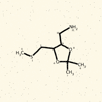 CSCC1OC(C)(C)OC1CN